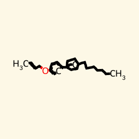 C/C=C/COc1ccc(C23CCC(CCCCCCC)(CC2)CC3)cc1